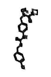 CN(Cc1ccc(NC(=O)OCc2ccc(Cl)cc2)cc1)C(=O)N1CCC1